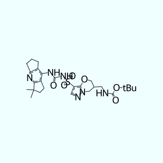 CC(C)(C)OC(=O)NCC1COc2c(S(=O)(=O)NC(=O)Nc3c4c(nc5c3CCC5(C)C)CCC4)cnn2C1